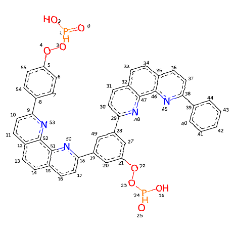 O=[PH](O)OOc1ccc(-c2ccc3ccc4ccc(-c5cc(OO[PH](=O)O)cc(-c6ccc7ccc8ccc(-c9ccccc9)nc8c7n6)c5)nc4c3n2)cc1